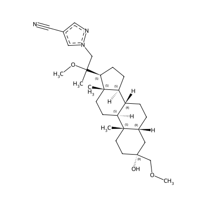 COC[C@@]1(O)CC[C@@]2(C)[C@H](CC[C@@H]3[C@@H]2CC[C@]2(C)[C@@H](C(C)(Cn4cc(C#N)cn4)OC)CC[C@@H]32)C1